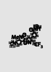 CNC(=O)c1c(-c2ccc(-n3cccc3)cc2)oc2nc(CCC(F)(F)F)c(-c3cccc(C(=O)NC(C)(C)C)c3)cc12